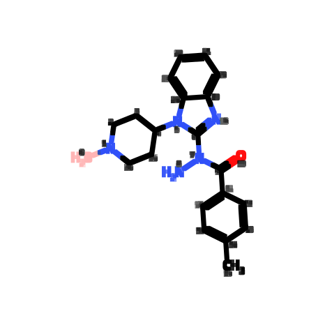 BN1CCC(n2c(N(N)C(=O)c3ccc(C)cc3)nc3ccccc32)CC1